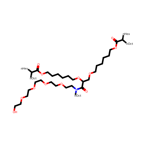 CCCCCCCCC(CCCCCC)C(=O)OCCCCCCOCC(OCCCCCCOC(=O)C(CCCCCC)CCCCCCCC)C(=O)N(CCCCCCCC)CCOCCOCCOCCOCCO